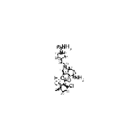 C[C@@H](Oc1c(N)ncc2c1ccn2CCC1CCN(C(N)=O)CC1)c1c(Cl)ccc(F)c1Cl